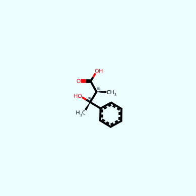 C[C@H](C(=O)O)[C@@](C)(O)c1ccccc1